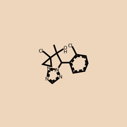 CC(O)(C(c1ccccc1Cl)n1ncnn1)C1(Cl)CC1